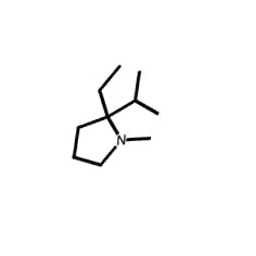 CCC1(C(C)C)CCCN1C